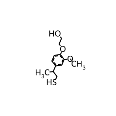 COc1cc(C(C)CS)ccc1OCCO